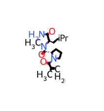 C=C(C)C(=O)N1CCC[C@H]1C(=O)N(C)[C@H](CC(C)C)C(N)=O